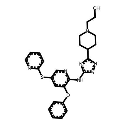 OCCN1CCC(c2nsc(Nc3ncc(Sc4ccccn4)cc3Oc3ccccc3)n2)CC1